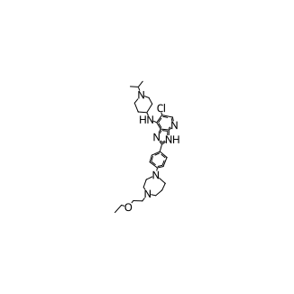 CCOCCN1CCCN(c2ccc(-c3nc4c(NC5CCN(C(C)C)CC5)c(Cl)cnc4[nH]3)cc2)CC1